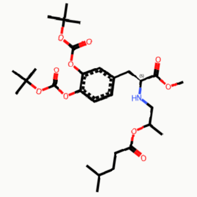 COC(=O)[C@H](Cc1ccc(OC(=O)OC(C)(C)C)c(OC(=O)OC(C)(C)C)c1)NCC(C)OC(=O)CCC(C)C